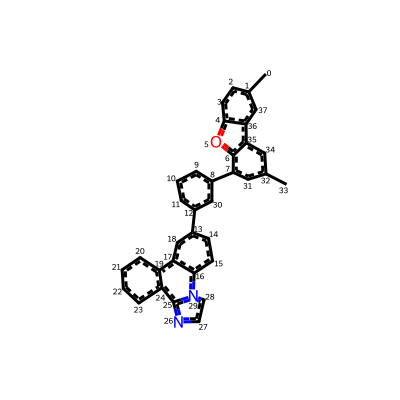 Cc1ccc2oc3c(-c4cccc(-c5ccc6c(c5)c5ccccc5c5nccn65)c4)cc(C)cc3c2c1